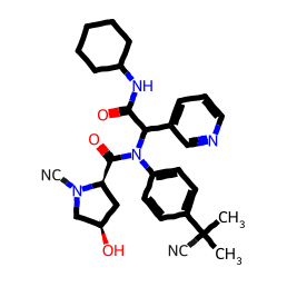 CC(C)(C#N)c1ccc(N(C(=O)[C@H]2C[C@@H](O)CN2C#N)C(C(=O)NC2CCCCC2)c2cccnc2)cc1